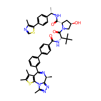 Cc1ncsc1-c1ccc([C@H](C)NC(=O)[C@@H]2C[C@@H](O)CN2C(=O)[C@@H](NC(=O)c2ccc(-c3cccc(C4=N[C@@H](C)c5nnc(C)n5-c5sc(C)c(C)c54)c3)cc2)C(C)(C)C)cc1